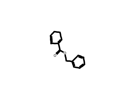 O=C(OCc1ccccc1)C1=CCCC=C1